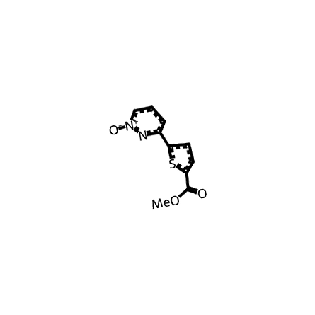 COC(=O)c1ccc(-c2ccc[n+]([O-])n2)s1